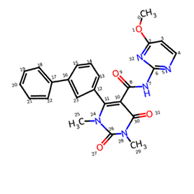 COc1ccnc(NC(=O)c2c(-c3cccc(-c4ccccc4)c3)n(C)c(=O)n(C)c2=O)n1